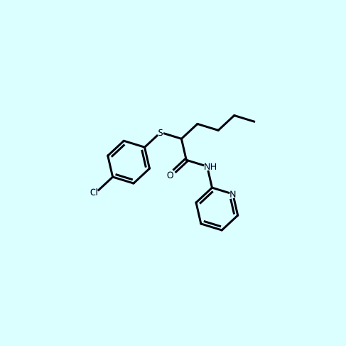 CCCCC(Sc1ccc(Cl)cc1)C(=O)Nc1ccccn1